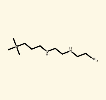 C[Si](C)(C)CCCNCCNCCN